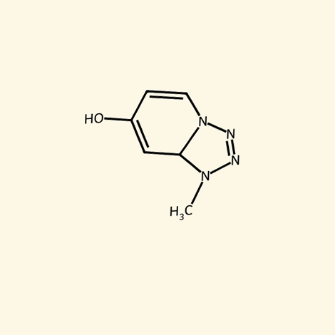 CN1N=NN2C=CC(O)=CC12